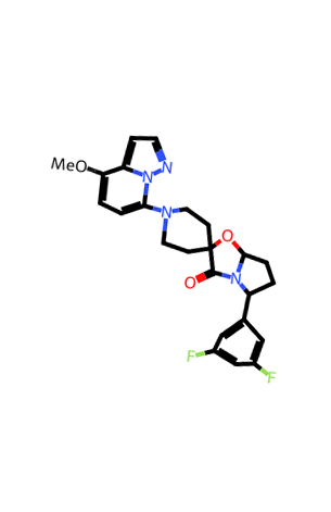 COc1ccc(N2CCC3(CC2)OC2CCC(c4cc(F)cc(F)c4)N2C3=O)n2nccc12